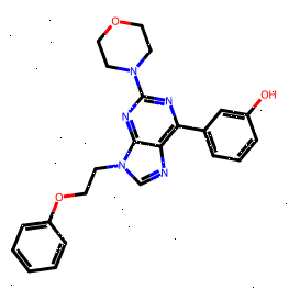 Oc1cccc(-c2nc(N3CCOCC3)nc3c2ncn3CCOc2ccccc2)c1